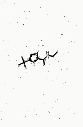 CCNC(C)c1ncc(C(C)(C)C)s1